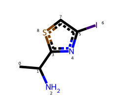 CC(N)c1nc(I)cs1